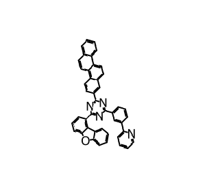 c1ccc(-c2cccc(-c3nc(-c4ccc5c(ccc6c7ccccc7ccc56)c4)nc(-c4cccc5oc6ccccc6c45)n3)c2)nc1